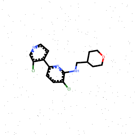 Clc1cnccc1-c1ccc(Cl)c(NCC2CCOCC2)n1